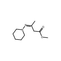 COC(=O)CC(C)=NN1CCCCC1